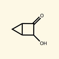 O=C1C(O)C2CC12